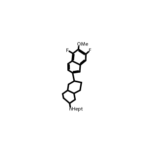 CCCCCCCC1CCC2CC(c3ccc4c(F)c(OC)c(F)cc4c3)CCC2C1